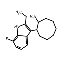 CCc1[nH]c2c(F)cccc2c1C1CCCCCCC1N